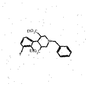 CCOC(=O)C1CN(Cc2ccccc2)CC(C(=O)OCC)C1c1cccc(F)c1C